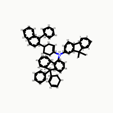 CC1(C)c2ccccc2-c2ccc(N(C3=CCC(c4ccc5ccccc5c4-c4ccccc4)CC3)c3cccc4c3-c3ccccc3C4(C3=CC=CCC3)c3ccccc3)cc21